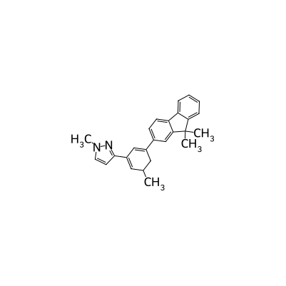 CC1C=C(c2ccn(C)n2)C=C(c2ccc3c(c2)C(C)(C)c2ccccc2-3)C1